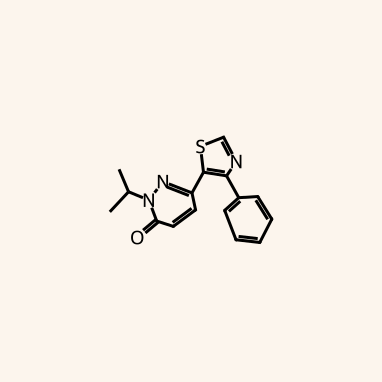 CC(C)n1nc(-c2scnc2-c2ccccc2)ccc1=O